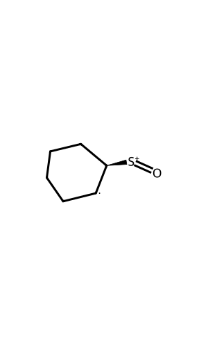 O=[S+][C@H]1[CH]CCCC1